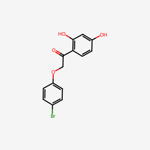 O=C(COc1ccc(Br)cc1)c1ccc(O)cc1O